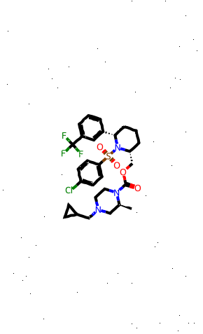 C[C@H]1CN(CC2CC2)CCN1C(=O)OC[C@H]1CCC[C@@H](c2cccc(C(F)(F)F)c2)N1S(=O)(=O)c1ccc(Cl)cc1